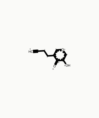 C#CCCc1cocc(O)c1=O